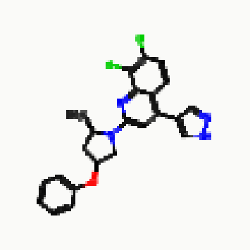 O=C(O)[C@@H]1C[C@H](Oc2ccccc2)CN1c1cc(-c2cn[nH]c2)c2ccc(Cl)c(Cl)c2n1